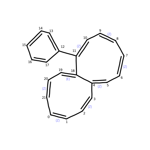 C1=C\C=C/C2=C/C=C\C=C/C=C(c3ccccc3)\C2=C\C=C/1